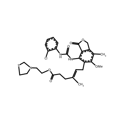 COc1c(C)c2c(c(NC(=O)Nc3ccccc3Cl)c1C/C=C(\C)CCC(=O)OCCN1CCSC1)C(=O)OC2